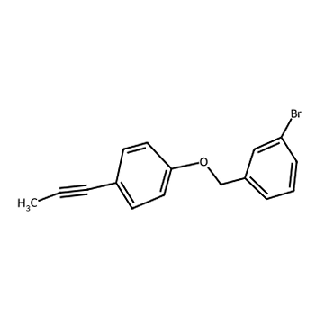 CC#Cc1ccc(OCc2cccc(Br)c2)cc1